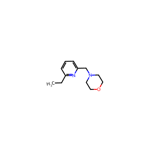 CCc1cccc(CN2CCOCC2)n1